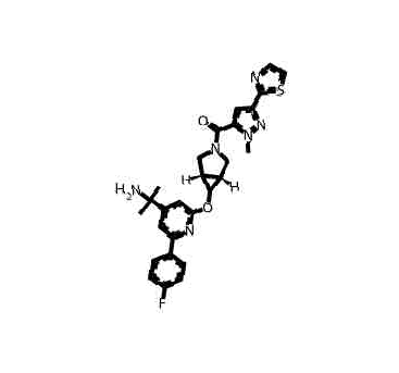 Cn1nc(-c2nccs2)cc1C(=O)N1C[C@@H]2C(Oc3cc(C(C)(C)N)cc(-c4ccc(F)cc4)n3)[C@@H]2C1